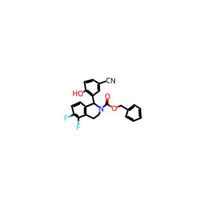 N#Cc1ccc(O)c(C2c3ccc(F)c(F)c3CCN2C(=O)OCc2ccccc2)c1